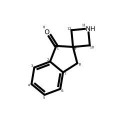 O=C1c2ccccc2CC12CNC2